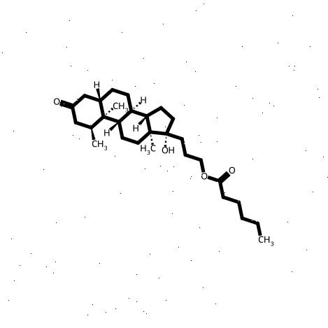 CCCCCC(=O)OCCC[C@]1(O)CC[C@H]2[C@@H]3CC[C@H]4CC(=O)C[C@H](C)[C@]4(C)[C@H]3CC[C@@]21C